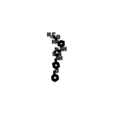 C=CC(=O)Nc1cccc(Nc2ncnc(NCc3ccc(OCc4ccccc4)cc3)n2)c1